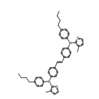 CCCCc1ccc(N(c2ccc(C=Cc3ccc(N(c4ccc(CCCC)cc4)c4sccc4C)cc3)cc2)c2sccc2C)cc1